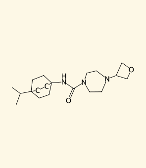 CC(C)C12CCC(NC(=O)N3CCN(C4COC4)CC3)(CC1)CC2